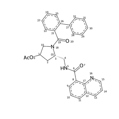 CC(=O)OC1C[C@@H](CNC(=O)c2cccc3cccnc23)N(C(=O)c2ccccc2-c2ccccc2)C1